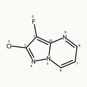 Fc1c(Cl)nn2cccnc12